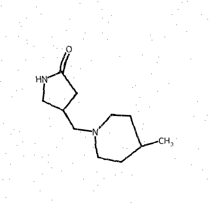 CC1CCN(CC2CNC(=O)C2)CC1